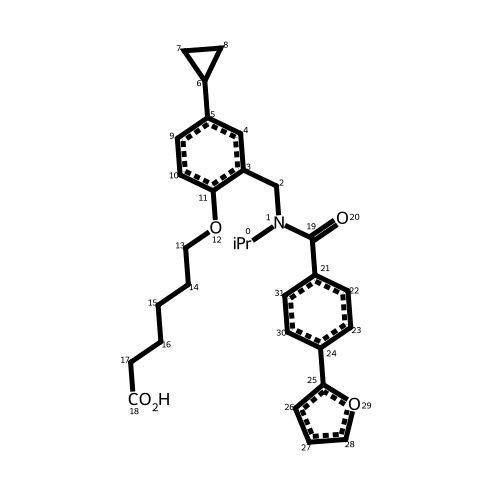 CC(C)N(Cc1cc(C2CC2)ccc1OCCCCCC(=O)O)C(=O)c1ccc(-c2ccco2)cc1